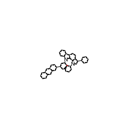 c1ccc(-c2cn(-c3ccccc3)c3c2ccc2c4ccccc4n(-c4cccc(-c5ccc6cc7ccccc7cc6c5)c4)c23)cc1